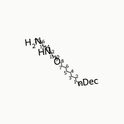 CCCCCCCCCCCCCCCCCCOCCCNCCCN